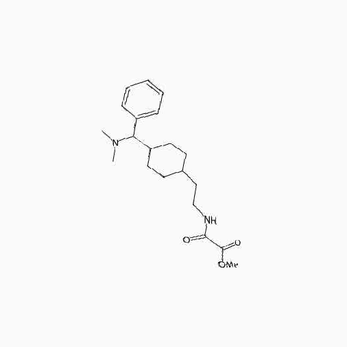 COC(=O)C(=O)NCCC1CCC(C(c2ccccc2)N(C)C)CC1